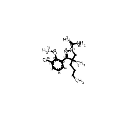 CCCCC1(C)CN(C(=N)N)N=C1c1cccc(Cl)c1OC